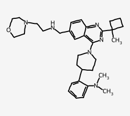 CN(C)c1ccccc1C1CCN(c2nc(C3(C)CCC3)nc3ccc(CNCCN4CCOCC4)cc23)CC1